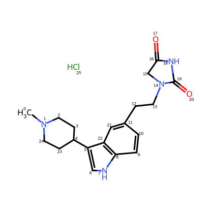 CN1CCC(c2c[nH]c3ccc(CCN4CC(=O)NC4=O)cc23)CC1.Cl